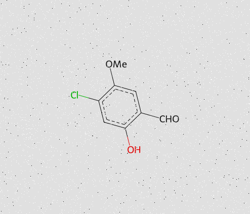 COc1cc(C=O)c(O)cc1Cl